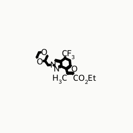 CCOC(=O)c1oc2c(c1C)-c1nn(CC3COCCO3)cc1C(C(F)(F)F)C2